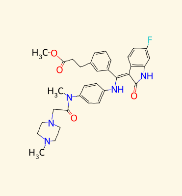 COC(=O)CCc1cccc(/C(Nc2ccc(N(C)C(=O)CN3CCN(C)CC3)cc2)=C2/C(=O)Nc3cc(F)ccc32)c1